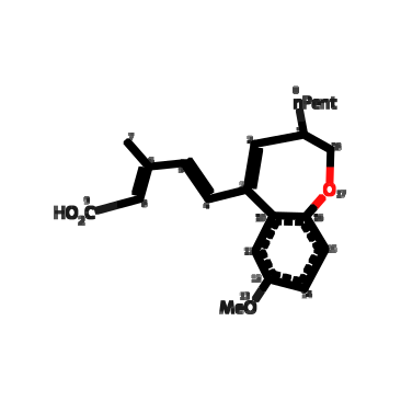 CCCCCC1C=C(C=CC(C)=CC(=O)O)c2cc(OC)ccc2OC1